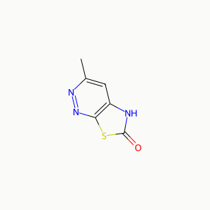 Cc1cc2[nH]c(=O)sc2nn1